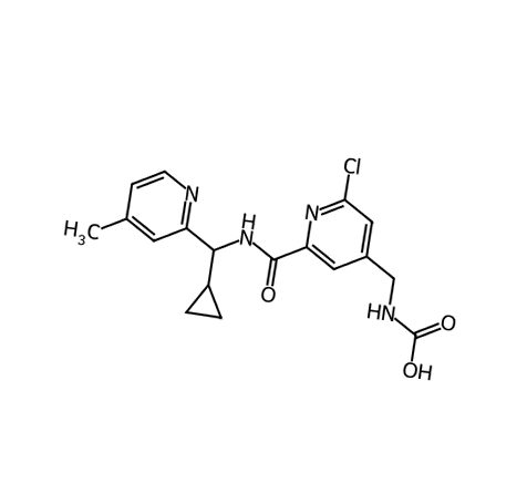 Cc1ccnc(C(NC(=O)c2cc(CNC(=O)O)cc(Cl)n2)C2CC2)c1